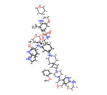 CC(C)Oc1ccccc1[C@@H]1CN([C@@H]2COCc3c2cnc2c3OC[C@@H](C)N2)CCN1C1CC2(CCN(c3ccc(C(=O)NS(=O)(=O)c4cc5c(c([N+](=O)[O-])c4)N[C@H](C4CCOCC4)CO5)c(N4c5cc6cc[nH]c6nc5O[C@H]5COCC[C@@H]54)c3)CC2)C1